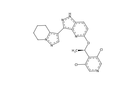 C[C@@H](Oc1ccc2[nH]nc(-c3cnn4c3CCCC4)c2n1)c1c(Cl)cncc1Cl